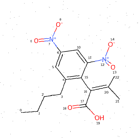 CCCCc1cc([N+](=O)[O-])cc([N+](=O)[O-])c1C(C(=O)O)=C(C)C